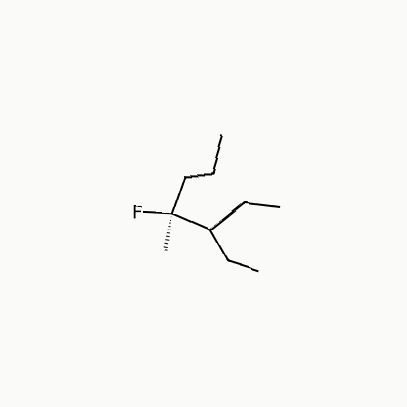 CCC[C@](C)(F)C(CC)CC